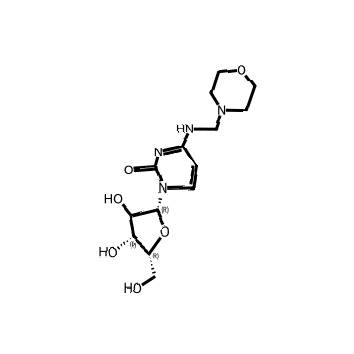 O=c1nc(NCN2CCOCC2)ccn1[C@@H]1O[C@H](CO)[C@H](O)C1O